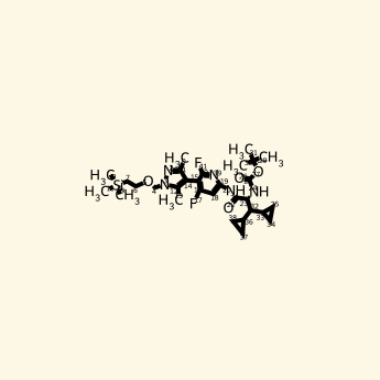 Cc1nn(COCC[Si](C)(C)C)c(C)c1-c1c(F)cc(NC(=O)[C@@H](NC(=O)OC(C)(C)C)C(C2CC2)C2CC2)nc1F